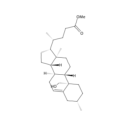 COC(=O)CC[C@@H](C)[C@H]1CC[C@H]2[C@@H]3CC=C4C[C@@H](C)CC[C@]4(CO)[C@H]3CC[C@]12C